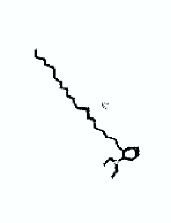 CCCCCCCCCCCCCCCCCCCCc1ccccc1N(CC)CC.Cl